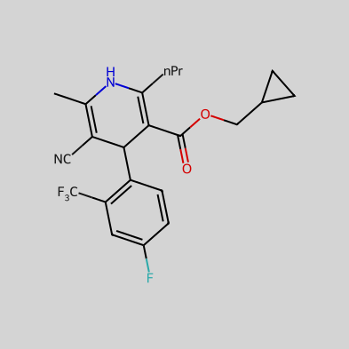 CCCC1=C(C(=O)OCC2CC2)C(c2ccc(F)cc2C(F)(F)F)C(C#N)=C(C)N1